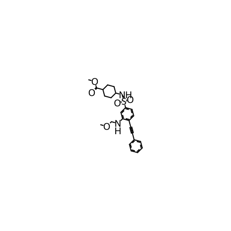 COCNc1cc(S(=O)(=O)NC2CCC(C(=O)OC)CC2)ccc1C#Cc1ccccc1